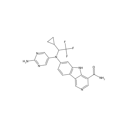 NC(=O)c1cncc2c1[nH]c1cc(N(c3cnc(N)nc3)C(C3CC3)C(F)(F)F)ccc12